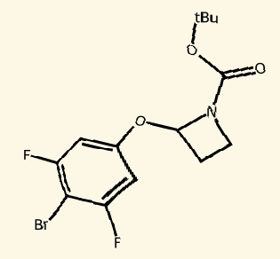 CC(C)(C)OC(=O)N1CCC1Oc1cc(F)c(Br)c(F)c1